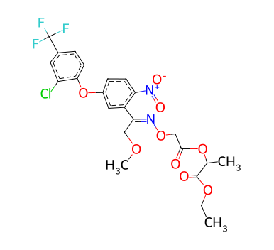 CCOC(=O)C(C)OC(=O)CON=C(COC)c1cc(Oc2ccc(C(F)(F)F)cc2Cl)ccc1[N+](=O)[O-]